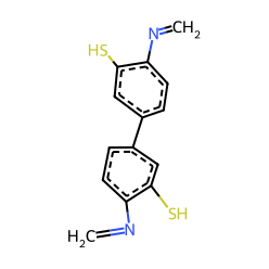 C=Nc1ccc(-c2ccc(N=C)c(S)c2)cc1S